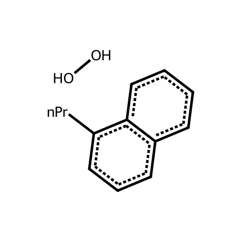 CCCc1cccc2ccccc12.OO